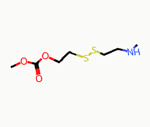 CNCCSSCCOC(=O)OC